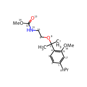 CCCc1ccc(C(C)(C)OCCNC(=O)OC)c(OC)c1